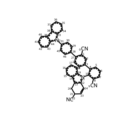 N#Cc1cc(-c2cccc(C#N)c2-n2c3c(c4ccccc42)CC(C#N)C=C3)ccc1-c1ccc(-n2c3ccccc3c3ccccc32)cc1